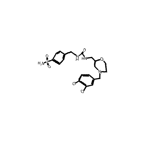 NS(=O)(=O)c1ccc(CNC(=O)NCC2CN(Cc3ccc(Cl)c(Cl)c3)CCO2)cc1